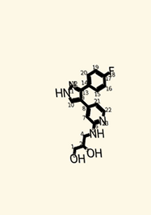 OCC(O)CNc1cc(-c2c[nH]nc2-c2ccc(F)cc2)ccn1